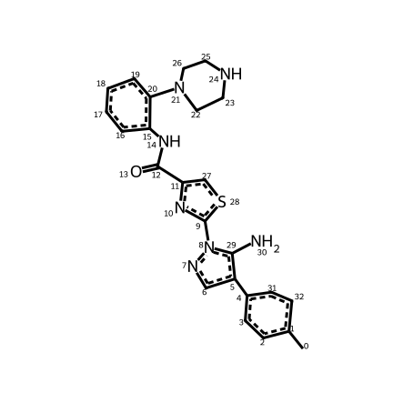 Cc1ccc(-c2cnn(-c3nc(C(=O)Nc4ccccc4N4CCNCC4)cs3)c2N)cc1